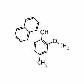 COc1cc(C)ccc1O.c1ccc2ccccc2c1